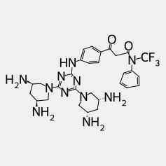 N[C@@H]1C[C@H](N)CN(c2nc(Nc3ccc(C(=O)CC(=O)N(c4ccccc4)C(F)(F)F)cc3)nc(N3C[C@H](N)C[C@H](N)C3)n2)C1